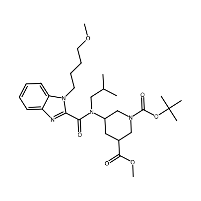 COCCCCn1c(C(=O)N(CC(C)C)C2CC(C(=O)OC)CN(C(=O)OC(C)(C)C)C2)nc2ccccc21